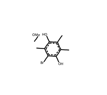 COC.Cc1c(C)c(O)c(Br)c(C)c1O